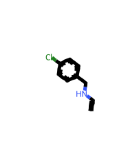 C=CNCc1ccc(Cl)cc1